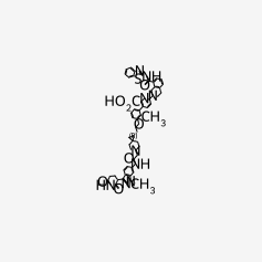 Cc1c(OCC[C@H]2CC23CCN(CC(=O)Nc2ccc4c(C5CCC(=O)NC5=O)nn(C)c4c2)CC3)cccc1-c1ccc(N2CCc3cccc(C(=O)Nc4nc5ccccc5s4)c3C2)nc1C(=O)O